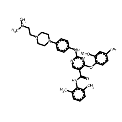 CCCc1ccc(Oc2nc(Nc3ccc(N4CCN(CCN(C)C)CC4)cc3)ncc2C(=O)Nc2c(C)cccc2C)c(OC)c1